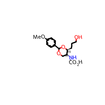 COc1ccc(C2OC[C@@H](NC(=O)O)[C@H](CCCO)O2)cc1